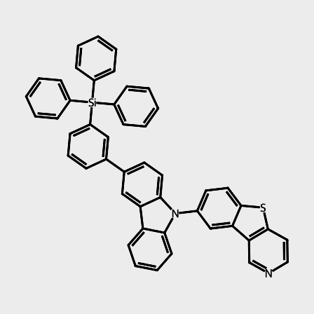 c1ccc([Si](c2ccccc2)(c2ccccc2)c2cccc(-c3ccc4c(c3)c3ccccc3n4-c3ccc4sc5ccncc5c4c3)c2)cc1